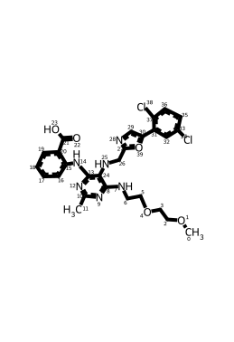 COCCOCCNc1nc(C)nc(Nc2ccccc2C(=O)O)c1NCc1ncc(-c2cc(Cl)ccc2Cl)o1